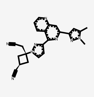 Cc1cc(-c2cc3ncccc3c(-c3ccn([C@]4(CC#N)C[C@@H](C#N)C4)n3)n2)nn1C